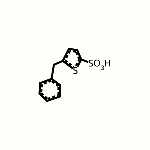 O=S(=O)(O)c1ccc(Cc2ccccc2)s1